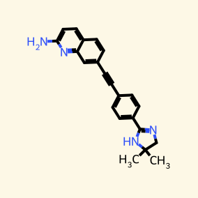 CC1(C)CN=C(c2ccc(C#Cc3ccc4ccc(N)nc4c3)cc2)N1